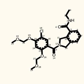 CCNC(=O)c1cccc2c1CN(C(=O)c1cc(Cl)c(OCOC)cc1OCOC)C2